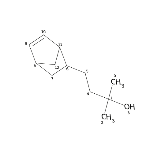 CC(C)(O)CCC1CC2C=CC1C2